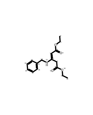 CCOC(=O)C=C(CC(=O)OCC)NCc1ccccc1